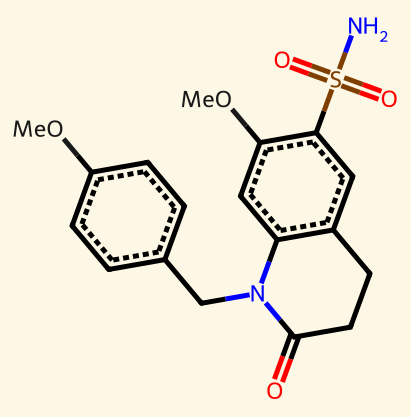 COc1ccc(CN2C(=O)CCc3cc(S(N)(=O)=O)c(OC)cc32)cc1